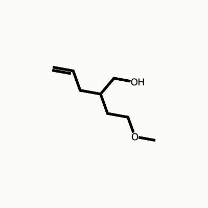 C=CCC(CO)CCOC